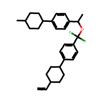 C=CC1CCC(c2ccc(C(F)(F)OC(C)c3ccc(C4CCC(C)CC4)cc3)cc2)CC1